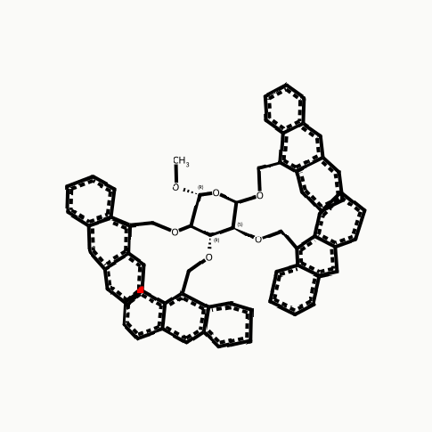 CO[C@@H]1OC(OCc2c3ccccc3cc3ccccc23)[C@@H](OCc2c3ccccc3cc3ccccc23)[C@H](OCc2c3ccccc3cc3ccccc23)C1OCc1c2ccccc2cc2ccccc12